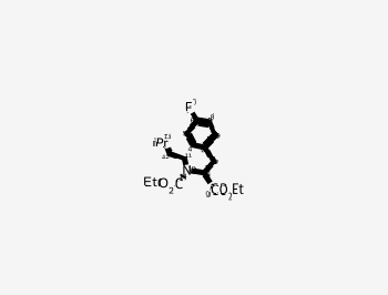 CCOC(=O)C(Cc1ccc(F)cc1)N(CCC(C)C)C(=O)OCC